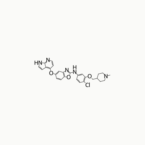 CN1CCC(COc2cc(Nc3nc4cc(Oc5ccnc6[nH]ccc56)ccc4o3)ccc2Cl)CC1